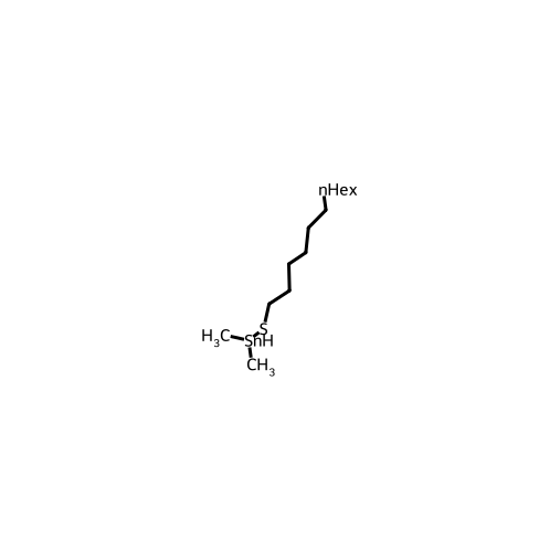 CCCCCCCCCCCC[S][SnH]([CH3])[CH3]